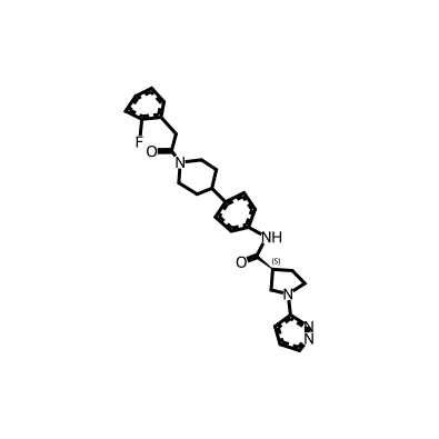 O=C(Nc1ccc(C2CCN(C(=O)Cc3ccccc3F)CC2)cc1)[C@H]1CCN(c2cccnn2)C1